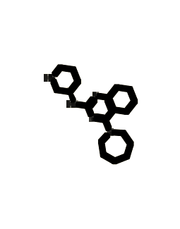 C1CCCN(c2nc(N[C@@H]3CCCNC3)nc3c2CCCC3)CC1